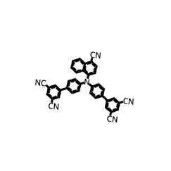 N#Cc1cc(C#N)cc(-c2ccc(N(c3ccc(-c4cc(C#N)cc(C#N)c4)cc3)c3ccc(C#N)c4ccccc34)cc2)c1